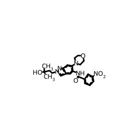 CC(C)(O)CCn1cc2cc(NC(=O)c3cccc([N+](=O)[O-])c3)c(N3CCOCC3)cc2n1